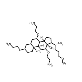 CCCOCCC[C@@H](C)C1CC[C@H]2C3[C@H](OCCN)CC4C[C@H](OCCN)CCC4(C)[C@H]3CC(OCCN)C12C